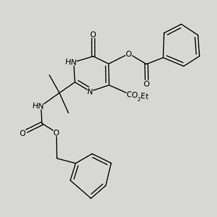 CCOC(=O)c1nc(C(C)(C)NC(=O)OCc2ccccc2)[nH]c(=O)c1OC(=O)c1ccccc1